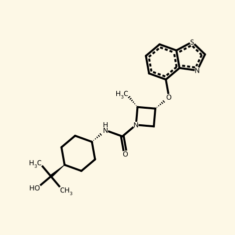 C[C@@H]1[C@H](Oc2cccc3scnc23)CN1C(=O)N[C@H]1CC[C@H](C(C)(C)O)CC1